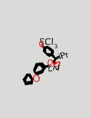 CC(C)C(C(=O)OC(C#N)c1cccc(Oc2ccccc2)c1)c1ccc(OC(Cl)(Cl)Cl)cc1